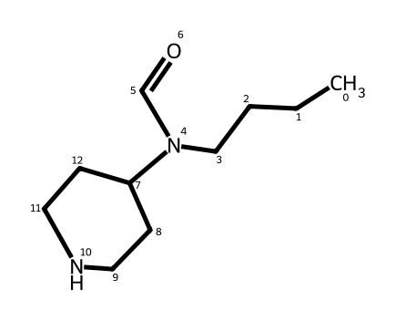 CCCCN(C=O)C1CCNCC1